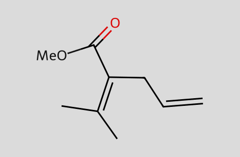 C=CCC(C(=O)OC)=C(C)C